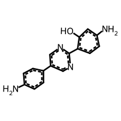 Nc1ccc(-c2cnc(-c3ccc(N)cc3O)nc2)cc1